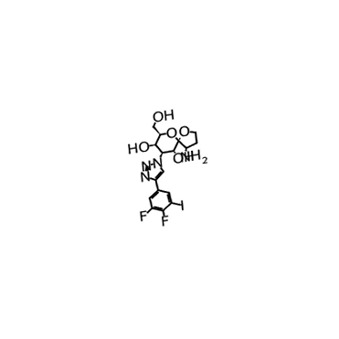 N[C@@H]1CCO[C@]12O[C@H](CO)[C@H](O)[C@H](n1cc(-c3cc(F)c(F)c(I)c3)nn1)[C@H]2O